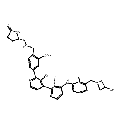 COc1cc(-c2nccc(-c3cccc(Nc4nccc(CN5CC(O)C5)c4F)c3Cl)c2Cl)ccc1CNC[C@H]1CCC(=O)N1